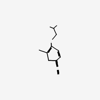 CC1=C(NCC(O)O)C=CC(=[N+]=[N-])C1